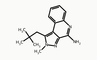 Cn1nc2c(N)nc3ccccc3c2c1CC(C)(C)C